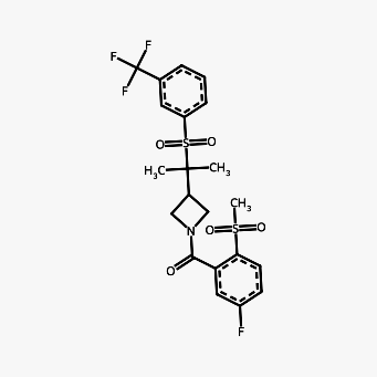 CC(C)(C1CN(C(=O)c2cc(F)ccc2S(C)(=O)=O)C1)S(=O)(=O)c1cccc(C(F)(F)F)c1